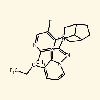 Cc1ncc(F)c(N2CC3CCC(C2)C3Nc2nc3c(OCC(F)(F)F)cccn3n2)n1